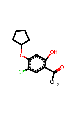 CC(=O)c1cc(Cl)c(OC2CCCC2)cc1O